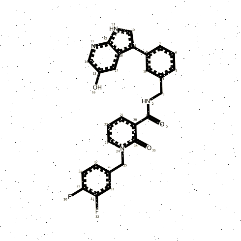 O=C(NCc1cccc(-c2c[nH]c3ncc(O)cc23)c1)c1cccn(Cc2ccc(F)c(F)c2)c1=O